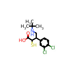 CC(C)(C)NCC(c1ccc(Cl)c(Cl)c1)C(S)C(=O)O